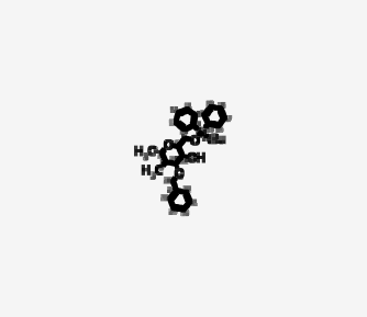 CC1[C@H](C)OC(CO[Si](c2ccccc2)(c2ccccc2)C(C)(C)C)[C@@H](O)[C@H]1OCc1ccccc1